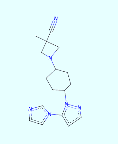 CC1(C#N)CN(C2CCC(n3nccc3-n3ccnc3)CC2)C1